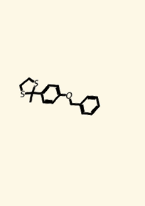 CC1(c2ccc(OCc3ccccc3)cc2)SCCS1